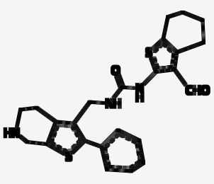 O=Cc1c(NC(=O)NCc2c(-c3ccccc3)sc3c2CCNC3)sc2c1CCCC2